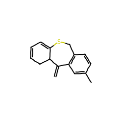 C=C1c2cc(C)ccc2CSC2=CC=CCC12